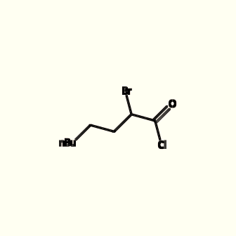 CCCCCCC(Br)C(=O)Cl